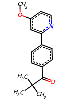 COc1ccnc(-c2ccc(C(=O)C(C)(C)C)cc2)c1